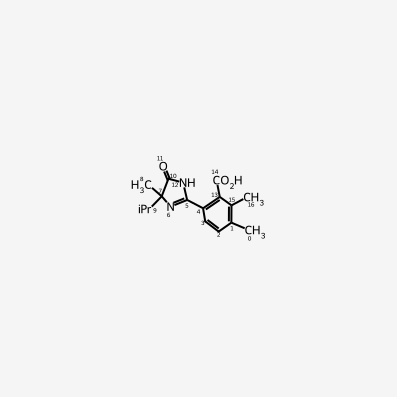 Cc1ccc(C2=NC(C)(C(C)C)C(=O)N2)c(C(=O)O)c1C